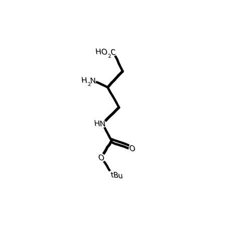 CC(C)(C)OC(=O)NCC(N)CC(=O)O